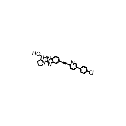 OCC1CCCN1c1nc2cc(C#Cc3ccc(-c4ccc(Cl)cc4)cn3)ccc2[nH]1